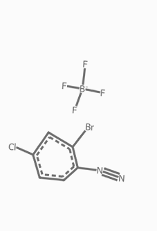 F[B-](F)(F)F.N#[N+]c1ccc(Cl)cc1Br